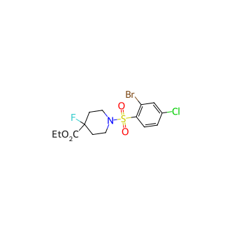 CCOC(=O)C1(F)CCN(S(=O)(=O)c2ccc(Cl)cc2Br)CC1